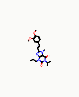 CCCn1c(=O)n(C(C)C)c(=O)c2c1nc(/C=C/c1ccc(OC)c(OC)c1)n2C